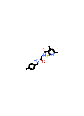 Cc1ccc(CNC(=O)Cn2sc3nc(C)cc(C)c3c2=O)cc1